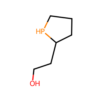 OCCC1CCCP1